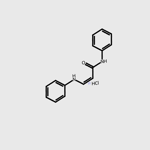 Cl.O=C(/C=C\Nc1ccccc1)Nc1ccccc1